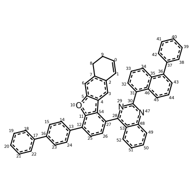 C1=Cc2cc3c(cc2CC1)oc1c(-c2ccc(-c4ccccc4)cc2)ccc(-c2nc(-c4cccc5c(-c6ccccc6)cccc45)nc4ccccc24)c13